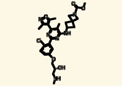 CNC[C@@H](O)COc1ccc(Cl)c(-c2nc(NC3CC4(C3)CN(C(=O)OC)C4)c(C)c(-c3c(C)noc3C)n2)c1